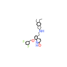 CCc1cc2c(cc1CC)CC(NCCc1ccc(OCc3cc(F)cc(F)c3)c3[nH]c(=O)ccc13)C2